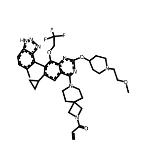 C=CC(=O)N1CC2(CCN(c3nc(OC4CCN(CCOC)CC4)nc4c(OCC(F)(F)F)c(-c5c(C)ccc6[nH]nnc56)c(C5CC5)cc34)CC2)C1